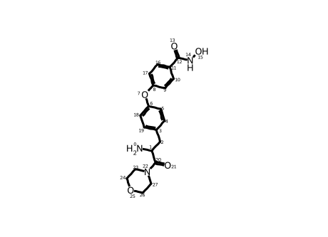 NC(Cc1ccc(Oc2ccc(C(=O)NO)cc2)cc1)C(=O)N1CCOCC1